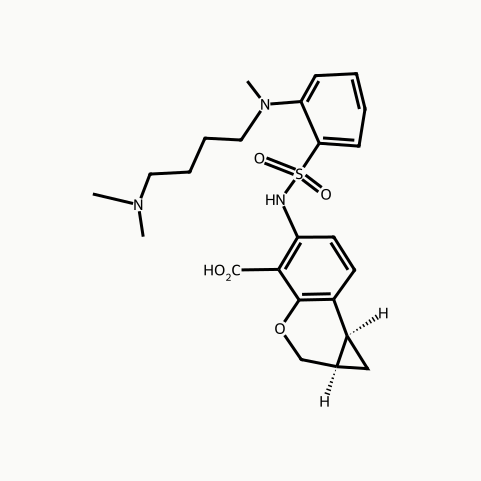 CN(C)CCCCN(C)c1ccccc1S(=O)(=O)Nc1ccc2c(c1C(=O)O)OC[C@@H]1C[C@H]21